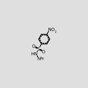 CCCNS(=O)(=O)c1ccc([N+](=O)[O-])cc1